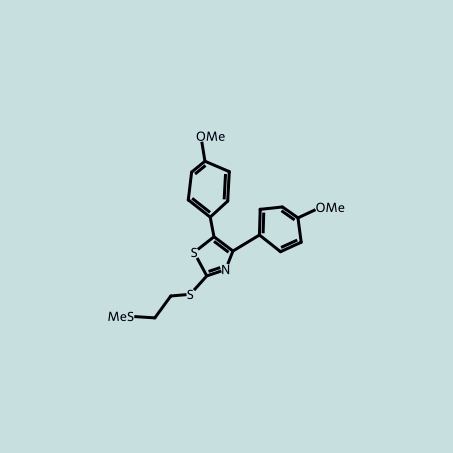 COc1ccc(-c2nc(SCCSC)sc2-c2ccc(OC)cc2)cc1